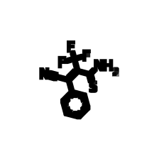 N#CC(=C(C(N)=S)C(F)(F)F)c1ccccc1